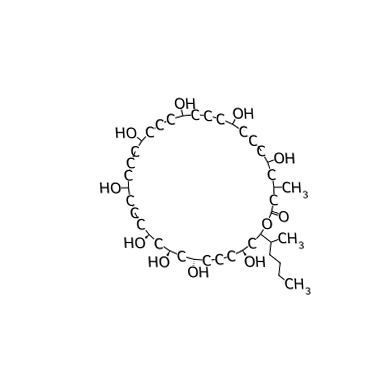 CCCCC(C)C1C[C@@H](O)CCC[C@H](O)C[C@@H](O)C[C@@H](O)CCCC(O)CCCC(O)CCCC(O)CCCC(O)CCCC(O)CC(C)CC(=O)O1